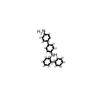 Nc1ccc(-c2ccc(Nc3ccccc3-c3ccccc3)cc2)cc1